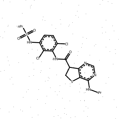 CCCS(=O)(=O)Nc1ccc(Cl)c(NC(=O)C2CSc3c(NC(C)C)ncnc32)c1Cl